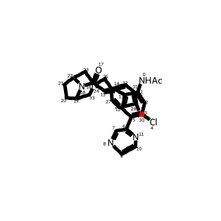 CC(=O)Nc1cc(Cl)c(-c2cnccn2)cc1C=CC(=O)N1C2CCC1CN(Cc1ccc(F)cc1)C2